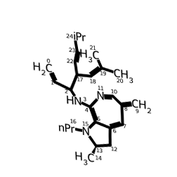 C=CC(NC1=C2C(=CC(=C)C=N1)C[C@@H](C)N2CCC)C(C=C(C)C)/C=C/C(C)C